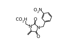 C=C1C(=O)N(Cc2cccc([N+](=O)[O-])c2)C(=O)N1CC(=O)O